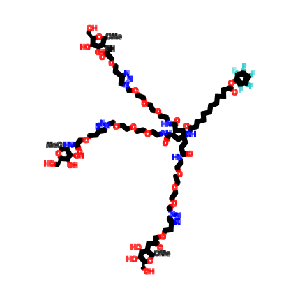 CO[C@@H]1O[C@H](CO)[C@H](O)[C@H](O)C1CC(=O)COCCc1cn(COCCOCCOCCNC(=O)CCC(CCC(=O)NCCOCCOCCOCn2cc(CCOCC(=O)B[C@H]3[C@H](OC)O[C@H](CO)[C@H](O)[C@@H]3O)nn2)(CCC(=O)NCCOCCOCCOCn2cc(CCOCC(=O)N[C@H]3[C@H](OC)O[C@H](CO)[C@H](O)[C@@H]3O)nn2)NC(=O)CCCCCCCCCCC(=O)Oc2c(F)c(F)c(F)c(F)c2F)nn1